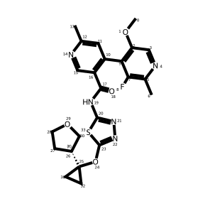 COc1cnc(C)c(F)c1-c1cc(C)ncc1C(=O)Nc1nnc(OC2([C@@H]3CCOC3)CC2)s1